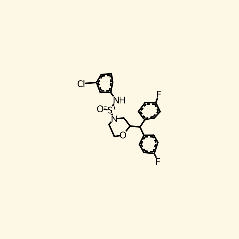 [O-][S+](Nc1cccc(Cl)c1)N1CCOC(C(c2ccc(F)cc2)c2ccc(F)cc2)C1